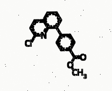 COC(=O)c1ccc(-c2cccc3ccc(Cl)nc23)cc1